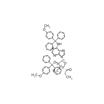 CCC(=O)[C@H]1O[C@@H](n2cnc3c(NC(c4ccccc4)(c4ccccc4)c4ccc(OC)cc4)ncnc32)[C@H](OC(c2ccccc2)(c2ccccc2)c2ccc(OC)cc2)[C@@H]1C